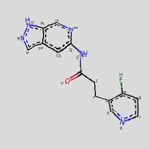 O=C(CCc1cnccc1F)Nc1cc2cn[nH]c2cn1